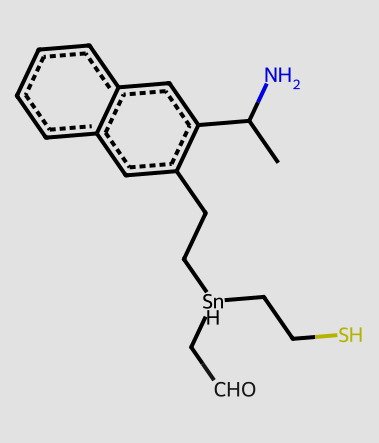 CC(N)c1cc2ccccc2cc1C[CH2][SnH]([CH2]C=O)[CH2]CS